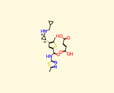 Cc1nnc(NC(=O)c2cc([C@@H]3C[C@H]3NCC3CC3)c(C)s2)s1.O=C(O)C=CC(=O)O